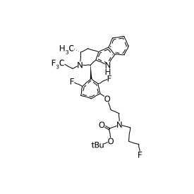 C[C@@H]1Cc2c([nH]c3ccccc23)[C@@H](c2c(F)ccc(OCCN(CCCF)C(=O)OC(C)(C)C)c2F)N1CC(F)(F)F